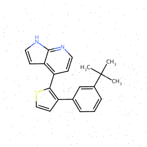 CC(C)(C)c1[c]ccc(-c2ccsc2-c2ccnc3[nH]ccc23)c1